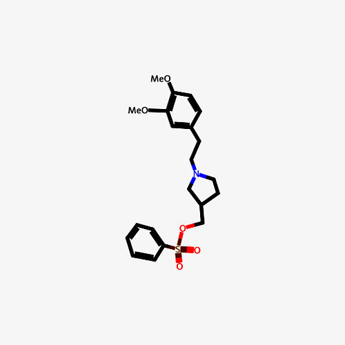 COc1ccc(CCN2CCC(COS(=O)(=O)c3ccccc3)C2)cc1OC